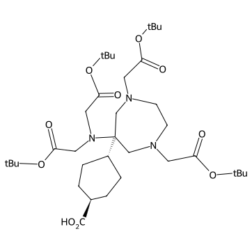 CC(C)(C)OC(=O)CN1CCN(CC(=O)OC(C)(C)C)CC([C@H]2CC[C@H](C(=O)O)CC2)(N(CC(=O)OC(C)(C)C)CC(=O)OC(C)(C)C)C1